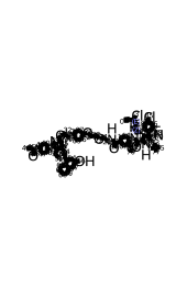 C#C/C(Cl)=C\C=C/C[C@H]1[C@H](C(=O)Nc2ccc(C(=O)NCCOCCOC3CCN(C[C@@H](C)Oc4nc5c(c(N6CCN(C(=O)C=C)CC6)n4)CCN(c4cc(O)cc6ccccc46)C5)CC3)cc2OC)N[C@@H](CC(C)(C)C)[C@]1(C#N)c1ccc(Cl)cc1F